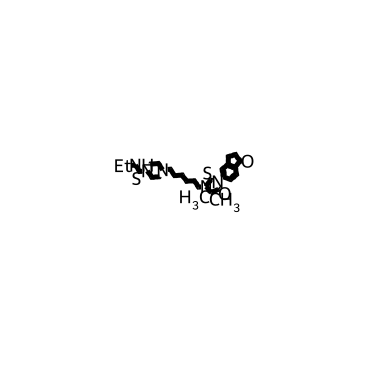 CCNC(=S)N1CCN(CCCCCCN2C(=S)N(c3ccc4c(c3)CCC4=O)C(=O)C2(C)C)CC1